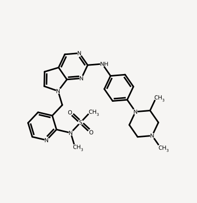 CC1CN(C)CCN1c1ccc(Nc2ncc3ccn(Cc4cccnc4N(C)S(C)(=O)=O)c3n2)cc1